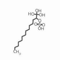 CCCCCCCCCCCCC(OS(=O)(=O)O)C(O)(O)O